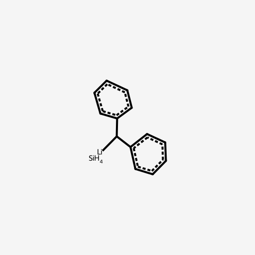 [Li][CH](c1ccccc1)c1ccccc1.[SiH4]